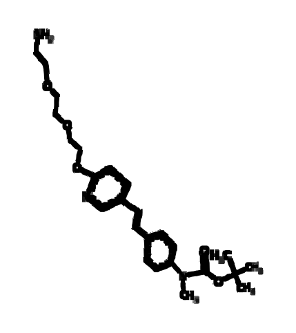 CN(C(=O)OC(C)(C)C)c1ccc(/C=C/c2ccc(OCCOCCOCCN)nc2)cc1